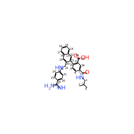 CC(C)CNC(=O)c1ccc(-c2cc3ccccc3cc2CNc2ccc(C(=N)N)cc2)c(C(=O)O)c1